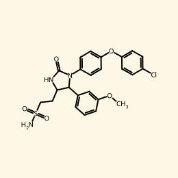 COc1cccc(C2C(CCS(N)(=O)=O)NC(=O)N2c2ccc(Oc3ccc(Cl)cc3)cc2)c1